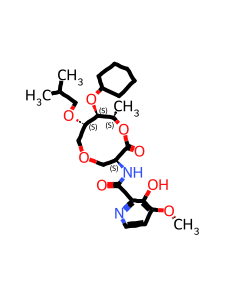 COc1ccnc(C(=O)N[C@H]2COC[C@H](OCC(C)C)[C@@H](OC3CCCCC3)[C@H](C)OC2=O)c1O